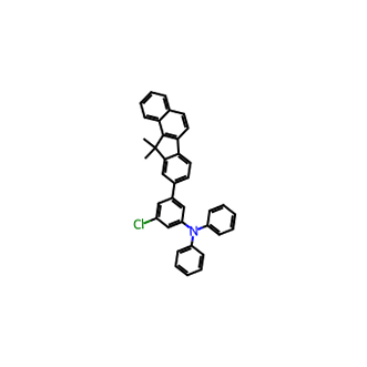 CC1(C)c2cc(-c3cc(Cl)cc(N(c4ccccc4)c4ccccc4)c3)ccc2-c2ccc3ccccc3c21